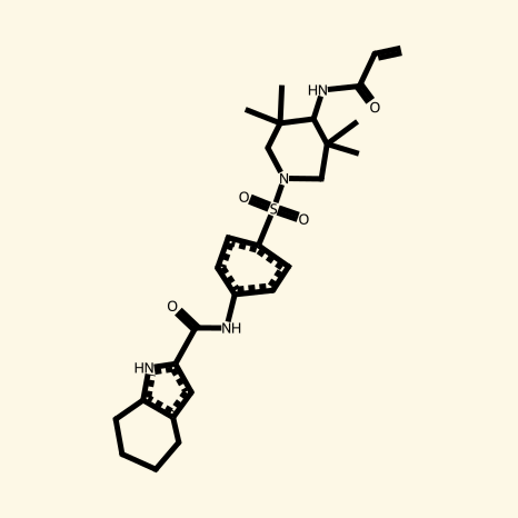 C=CC(=O)NC1C(C)(C)CN(S(=O)(=O)c2ccc(NC(=O)c3cc4c([nH]3)CCCC4)cc2)CC1(C)C